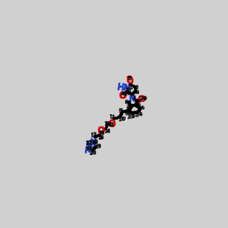 O=C1CCC(N2Cc3c(CCCOCCOCCn4ccnn4)cccc3C2=O)C(=O)N1